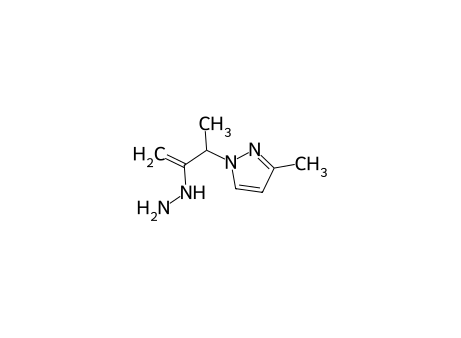 C=C(NN)C(C)n1ccc(C)n1